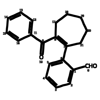 O=Cc1ccccc1C1=C(C(=O)c2ccccc2)CCCCC1